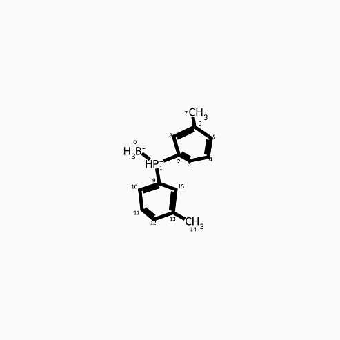 [BH3-][PH+](c1cccc(C)c1)c1cccc(C)c1